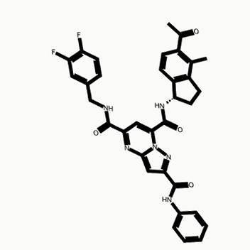 CC(=O)c1ccc2c(c1C)CC[C@@H]2NC(=O)c1cc(C(=O)NCc2ccc(F)c(F)c2)nc2cc(C(=O)Nc3ccccc3)nn12